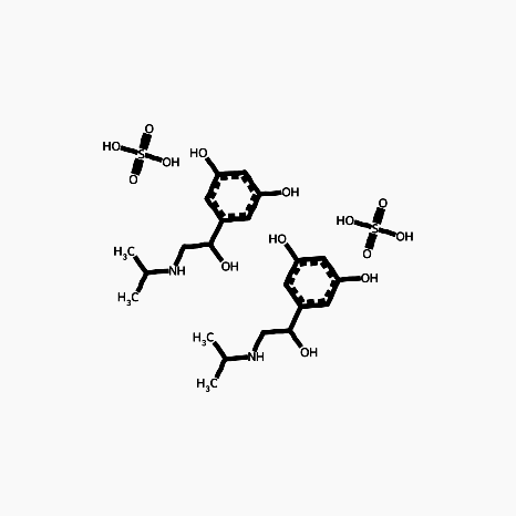 CC(C)NCC(O)c1cc(O)cc(O)c1.CC(C)NCC(O)c1cc(O)cc(O)c1.O=S(=O)(O)O.O=S(=O)(O)O